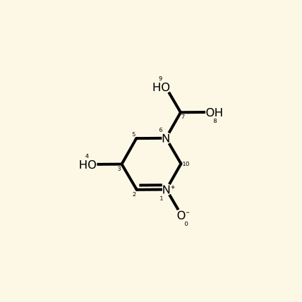 [O-][N+]1=CC(O)CN(C(O)O)C1